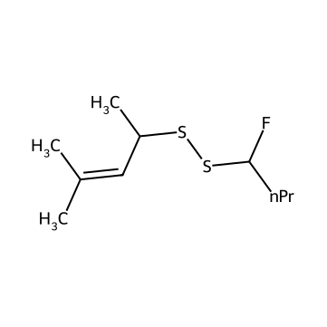 CCCC(F)SSC(C)C=C(C)C